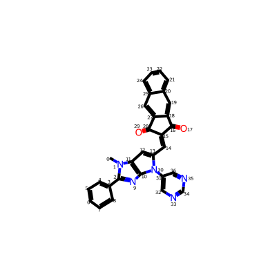 Cn1c(-c2ccccc2)nc2c1cc(C=C1C(=O)c3cc4ccccc4cc3C1=O)n2-c1cncnc1